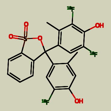 Cc1cc(O)c([18F])cc1C1(c2cc([18F])c(O)c([18F])c2C)OS(=O)(=O)c2ccccc21